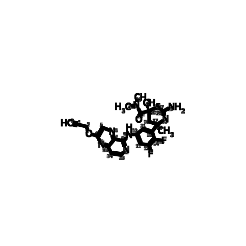 C#CCOc1cnc2c(Nc3cc(F)c(F)c([C@]4(C)C[C@](C)(C(=O)N(C)C)SC(N)=N4)c3)nccc2n1